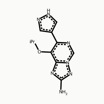 CC(C)Oc1c(-c2cn[nH]c2)ncn2nc(N)nc12